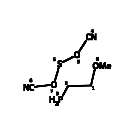 COCCP.N#COSOC#N